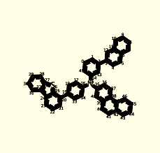 c1cc(-c2ccc3ccccc3c2)cc(N(c2ccc(-c3cccc4c3sc3ccccc34)cc2)c2ccc3c(ccc4ccccc43)c2)c1